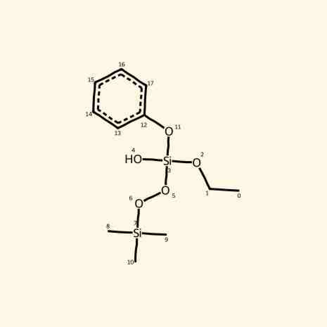 CCO[Si](O)(OO[Si](C)(C)C)Oc1ccccc1